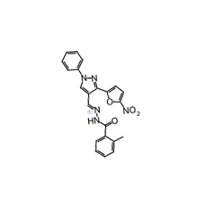 Cc1ccccc1C(=O)N/N=C/c1cn(-c2ccccc2)nc1-c1ccc([N+](=O)[O-])o1